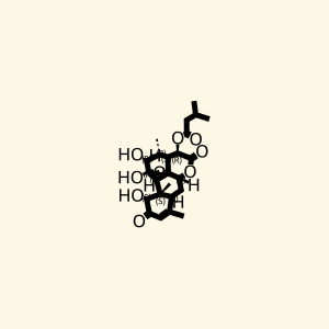 CC1=CC(=O)[C@@H](O)[C@]2(C)[C@H]3[C@@]4(O)OC[C@]35[C@H]([C@@H](C)[C@H]4O)[C@@H](OC(=O)CC(C)C)C(=O)O[C@@H]5C[C@@H]12